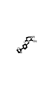 O=C1C=CNC(O)N1Cc1ccc(-c2ncco2)cc1